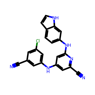 N#Cc1cc(Cl)cc(Nc2cc(C#N)nc(Nc3ccc4cc[nH]c4c3)c2)c1